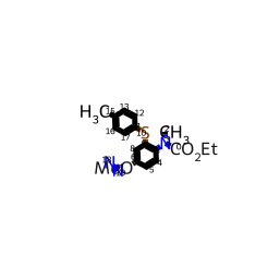 CCOC(=O)N(C)c1ccc(OC)cc1Sc1ccc(C)cc1.N#N